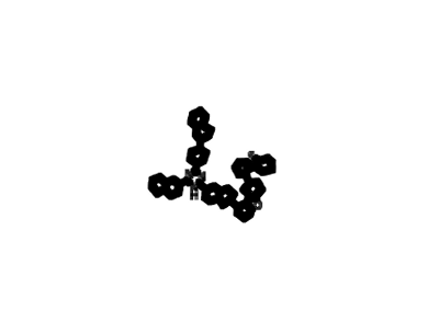 c1ccc2cc(-c3ccc(C4=NC(c5ccc6ccccc6c5)NC(c5ccc6cc(-c7cccc8oc9ccc(-c%10cccc%11sc%12ccccc%12c%10%11)cc9c78)ccc6c5)=N4)cc3)ccc2c1